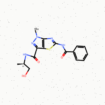 C[C@H](CO)NC(=O)c1nn(C(C)(C)C)c2nc(NC(=O)c3ccccc3)sc12